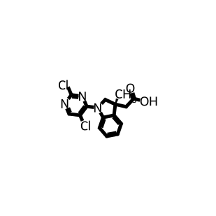 C[C@]1(CC(=O)O)CN(c2nc(Cl)ncc2Cl)c2ccccc21